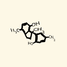 Cc1ccc(O)c(C2(C)CCc3c(C)ccc(O)c32)c1